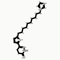 O=C1CCC(c2ccc(CCCCCCCCCCn3ccnc3)s2)=NN1